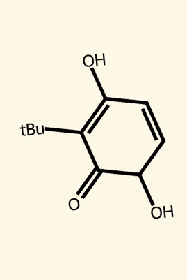 CC(C)(C)C1=C(O)C=CC(O)C1=O